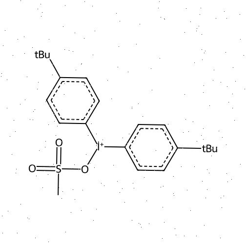 CC(C)(C)c1ccc([I+](OS(C)(=O)=O)c2ccc(C(C)(C)C)cc2)cc1